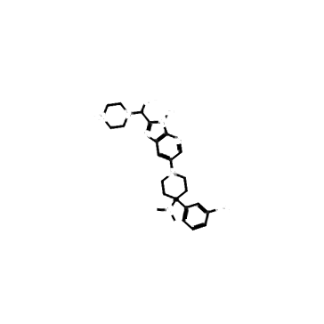 CCCC(c1nc2cc(N3CCC(c4cccc(O)c4)(N(C)C)CC3)cnc2n1CC)N1CCNCC1